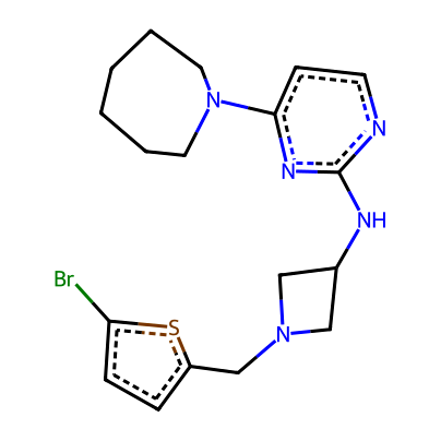 Brc1ccc(CN2CC(Nc3nccc(N4CCCCCC4)n3)C2)s1